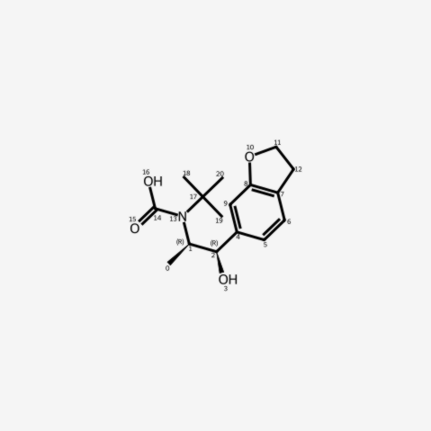 C[C@H]([C@H](O)c1ccc2c(c1)OCC2)N(C(=O)O)C(C)(C)C